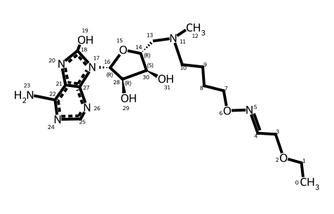 CCOCC=NOCCCCN(C)C[C@H]1O[C@@H](n2c(O)nc3c(N)ncnc32)[C@H](O)[C@@H]1O